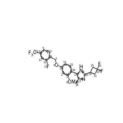 COc1cc(OCc2ncc(C(F)(F)F)cc2F)ccc1-c1[nH]c(C2CC(F)(F)C2)nc1C